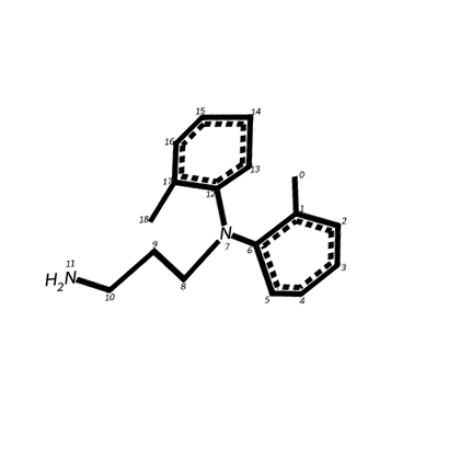 Cc1ccccc1N(CCCN)c1ccccc1C